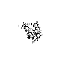 CC1(C(=O)O)CCN(C(=O)CC2(NC(=O)c3cnn4cccnc34)CNN=C2c2cc(Cl)ccc2OC(F)F)CC1